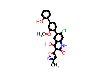 COc1cc(-c2ccccc2O)ccc1-c1cc2c(O)c(-c3cc(C)no3)c(=O)[nH]c2cc1Cl